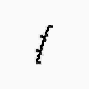 O=C(OCCCO)OCCCOC(=O)OCCCO